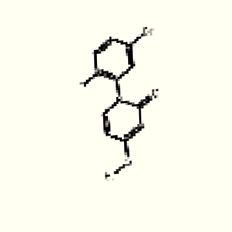 CCSc1ccn(-c2cc(Br)ccc2F)c(=O)c1